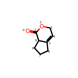 O=C1OCC=C2CCCC12